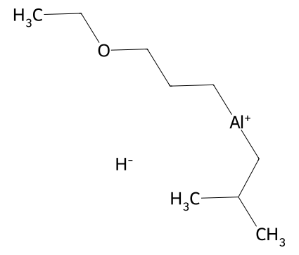 CCOCC[CH2][Al+][CH2]C(C)C.[H-]